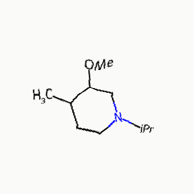 COC1CN(C(C)C)CCC1C